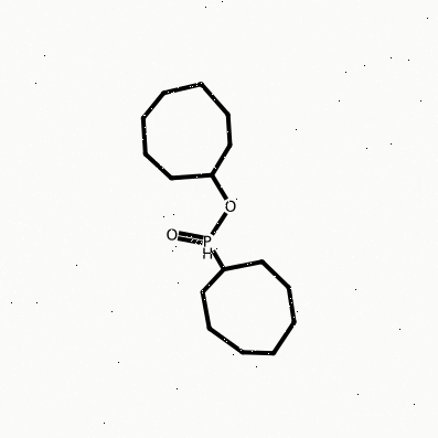 O=[PH](OC1CCCCCCC1)C1CCCCCCC1